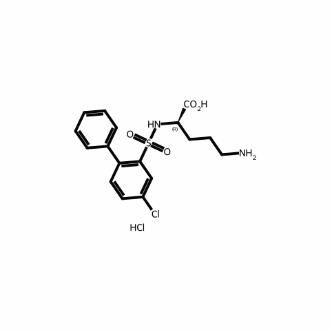 Cl.NCCC[C@@H](NS(=O)(=O)c1cc(Cl)ccc1-c1ccccc1)C(=O)O